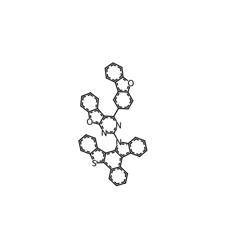 c1ccc2c(c1)oc1ccc(-c3nc(-n4c5ccccc5c5c6ccccc6c6sc7ccccc7c6c54)nc4oc5ccccc5c34)cc12